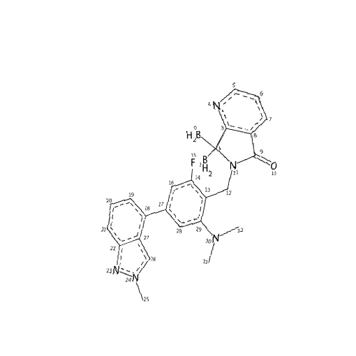 BC1(B)c2ncccc2C(=O)N1Cc1c(F)cc(-c2cccc3nn(C)cc23)cc1N(C)C